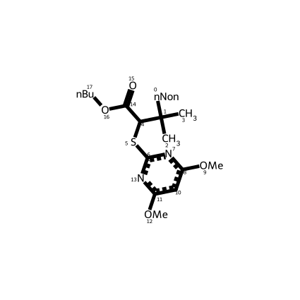 CCCCCCCCCC(C)(C)C(Sc1nc(OC)cc(OC)n1)C(=O)OCCCC